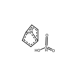 O=[SH](=O)O.c1cc2ccc1[nH]2